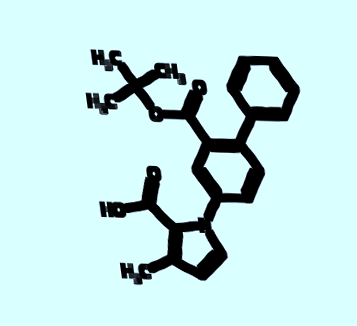 Cc1ccn(-c2ccc(-c3ccccc3)c(C(=O)OC(C)(C)C)c2)c1C(=O)O